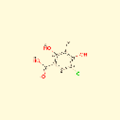 Cc1c(O)c(Cl)cc(C(=O)O)c1O